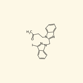 CC(=O)CCn1c(Cn2nc(I)c3ccccc32)nc2ccccc21